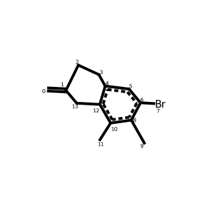 C=C1CCc2cc(Br)c(C)c(C)c2C1